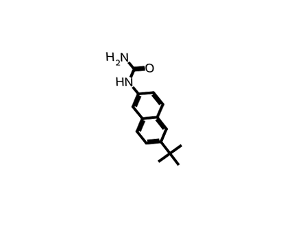 CC(C)(C)c1ccc2cc(NC(N)=O)ccc2c1